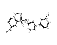 COc1ccc(OC)c(S(=O)(=O)Nc2cncc(-c3cccc(Cl)c3)c2)c1